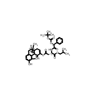 CC(C)COC(=O)[C@H](CC(=O)OC1=CC[C@@]2(O)[C@H]3Cc4ccc(O)c5c4[C@@]2(CCC3C)[C@H]1O5)NC(=O)[C@@H](OC(=O)OC(C)(C)C)c1ccccc1